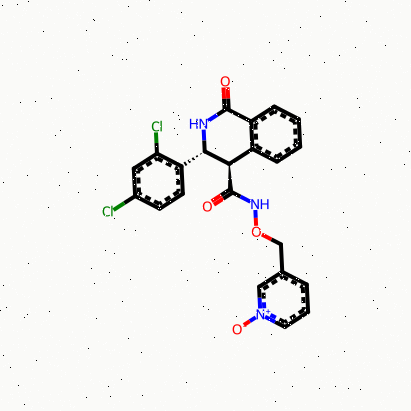 O=C1N[C@@H](c2ccc(Cl)cc2Cl)[C@H](C(=O)NOCc2ccc[n+]([O-])c2)c2ccccc21